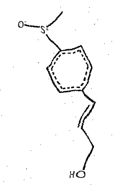 C[S+]([O-])c1ccc(/C=C/CO)cc1